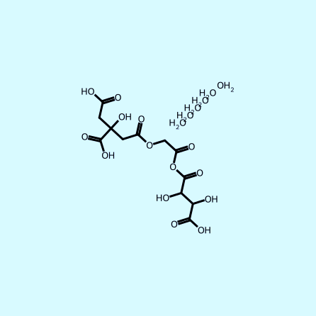 O.O.O.O.O.O.O=C(O)CC(O)(CC(=O)OCC(=O)OC(=O)C(O)C(O)C(=O)O)C(=O)O